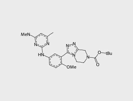 CNc1cc(C)nc(Nc2ccc(OC)c(-c3nnc4n3CCN(C(=O)OC(C)(C)C)C4)c2)n1